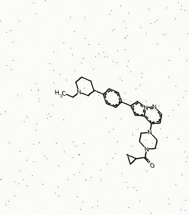 CCN1CCCC(c2ccc(-c3cc4c(N5CCN(C(=O)C6CC6)CC5)ccnn4c3)cc2)C1